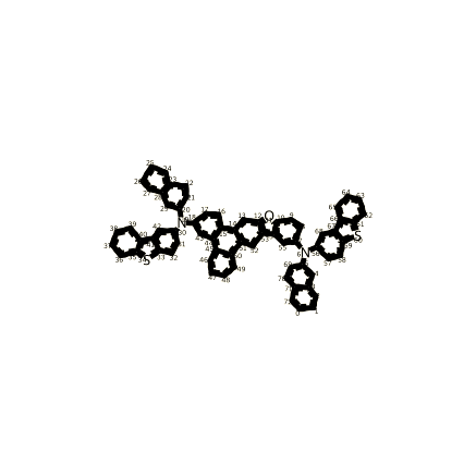 c1ccc2cc(N(c3ccc4oc5cc6c7ccc(N(c8ccc9ccccc9c8)c8ccc9sc%10ccccc%10c9c8)cc7c7ccccc7c6cc5c4c3)c3ccc4sc5ccccc5c4c3)ccc2c1